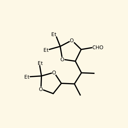 CCC1(CC)OCC(C(C)C(C)C2OC(CC)(CC)OC2C=O)O1